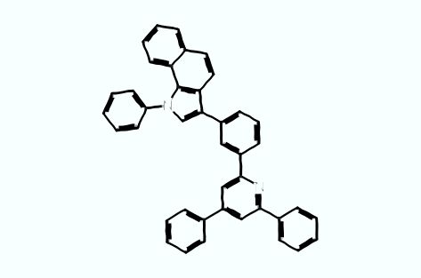 c1ccc(-c2cc(-c3ccccc3)nc(-c3cccc(-c4cn(-c5ccccc5)c5c4ccc4ccccc45)c3)c2)cc1